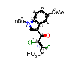 CCCCn1cc(C(=O)/C(Cl)=C(\Cl)C(=O)O)c2cc(OC)ccc21